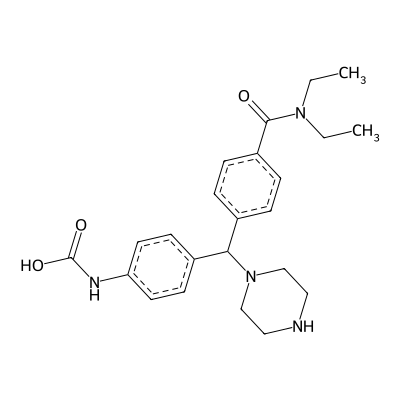 CCN(CC)C(=O)c1ccc(C(c2ccc(NC(=O)O)cc2)N2CCNCC2)cc1